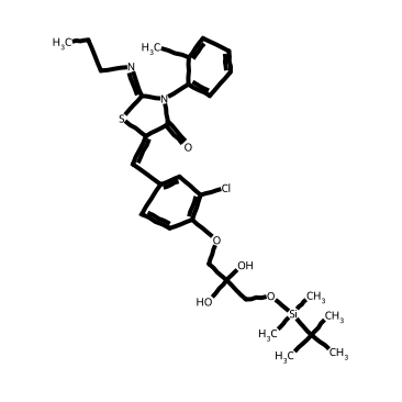 CCC/N=C1\SC(=Cc2ccc(OCC(O)(O)CO[Si](C)(C)C(C)(C)C)c(Cl)c2)C(=O)N1c1ccccc1C